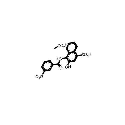 CC(=O)O.O=C(Nc1c(O)cc(S(=O)(=O)O)c2ccccc12)c1cccc([N+](=O)[O-])c1